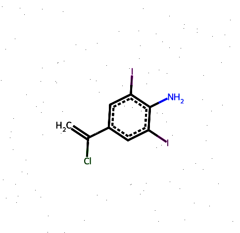 C=C(Cl)c1cc(I)c(N)c(I)c1